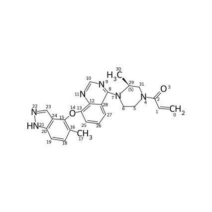 C=CC(=O)N1CCN(c2ncnc3c(Oc4c(C)ccc5[nH]ncc45)cccc23)[C@@H](C)C1